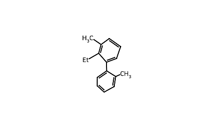 CCc1c(C)cccc1-c1ccccc1C